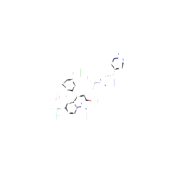 O=C(CSc1c(-c2cc(Cl)ccc2O)c2cc(C(F)(F)F)ccc2[nH]c1=O)NCCc1ccncc1